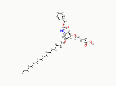 CCCCCCCCCCCCCCCCCCOc1cc(NC(=O)OCc2ccccc2)cc(OCCCCC(=O)OC)c1